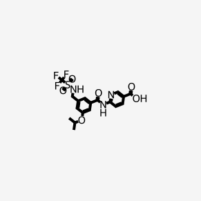 CC(C)Oc1cc(CNS(=O)(=O)C(F)(F)F)cc(C(=O)Nc2ccc(C(=O)O)cn2)c1